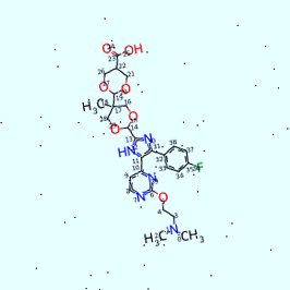 CN(C)CCOc1nccc(-c2[nH]c(C3OCC(C)(C4OCC(C(=O)O)CO4)CO3)nc2-c2ccc(F)cc2)n1